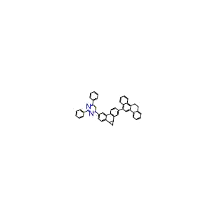 c1ccc(C2=NC(c3ccccc3)=NC(c3ccc4c(c3)-c3ccc(-c5cc6c(c7ccccc57)CCc5ccccc5-6)cc3C3CC43)C2)cc1